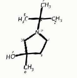 CC1(O)CCN(C(C)(C)C)C1